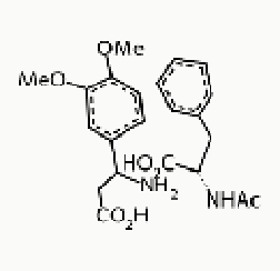 CC(=O)N[C@@H](Cc1ccccc1)C(=O)O.COc1ccc(C(N)CC(=O)O)cc1OC